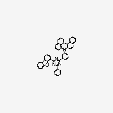 c1ccc(-c2nc(-c3cccc(N4c5ccc6ccccc6c5-c5cccc6cccc4c56)c3)nc(-c3cccc4c3oc3ccccc34)n2)cc1